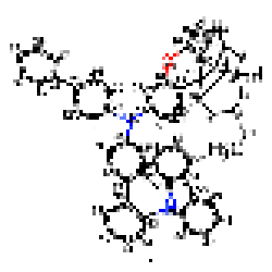 CC[C@H]1C[C@H]2C[C@@H]3C[C@@H](C1)C1(c4ccccc4Oc4cc(N(c5ccc(-c6ccccc6)cc5)c5ccc(-c6ccccc6-n6c7ccccc7c7ccccc76)cc5)ccc41)C32